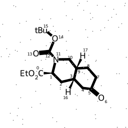 CCOC(=O)[C@@H]1C[C@H]2CC(=O)CC[C@H]2CN1C(=O)OC(C)(C)C